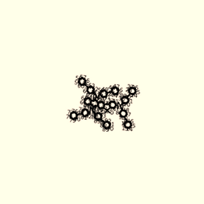 CC1(C)c2cc(N(c3ccc(-c4ccccc4)cc3)c3ccc(-c4ccccc4)cc3)ccc2-c2cc3c(N(c4ccc(-c5ccccc5)cc4)c4ccc(-c5ccccc5)cc4)c4ccccc4c(N(c4ccc(-c5ccccc5)cc4)c4ccc(-c5ccccc5)cc4)c3cc21